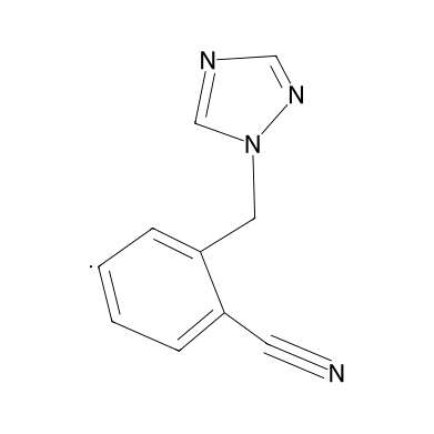 N#Cc1cc[c]cc1Cn1cncn1